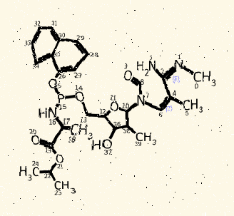 C/N=C(N)\C(C)=C/N(C=O)C1OC(COP(NC(C)C(=O)OC(C)C)Oc2cccc3ccccc23)C(O)C1C